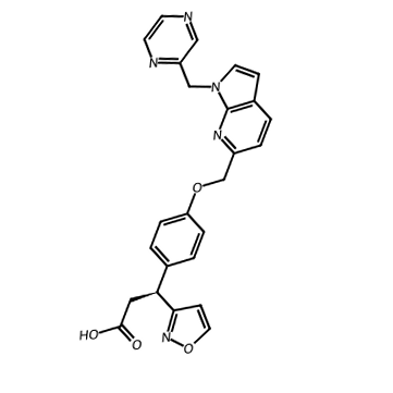 O=C(O)C[C@@H](c1ccc(OCc2ccc3ccn(Cc4cnccn4)c3n2)cc1)c1ccon1